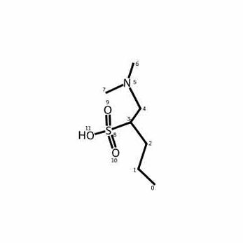 CCC[C](CN(C)C)S(=O)(=O)O